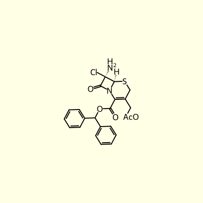 CC(=O)OCC1=C(C(=O)OC(c2ccccc2)c2ccccc2)N2C(=O)[C@@](N)(Cl)[C@H]2SC1